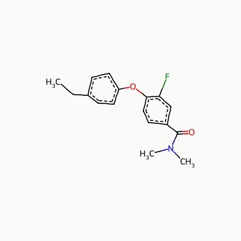 CCc1ccc(Oc2ccc(C(=O)N(C)C)cc2F)cc1